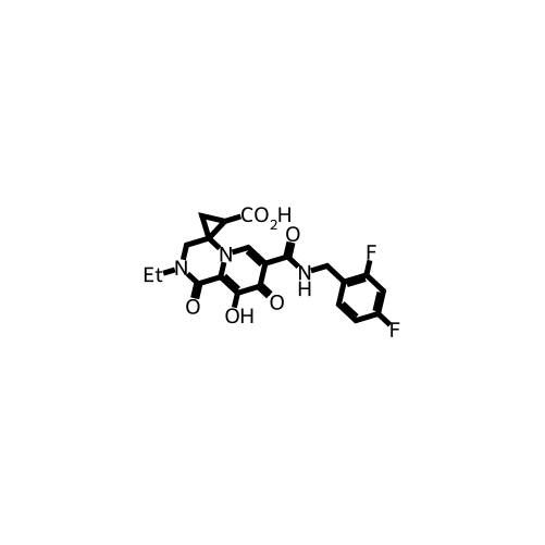 CCN1CC2(CC2C(=O)O)n2cc(C(=O)NCc3ccc(F)cc3F)c(=O)c(O)c2C1=O